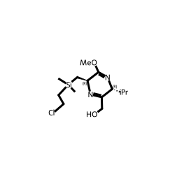 COC1=N[C@H](C(C)C)C(CO)=N[C@H]1C[Si](C)(C)CCCl